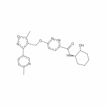 Cc1ccc(-c2noc(C)c2COc2ccc(C(=O)N[C@@H]3CCCCC3O)nn2)cn1